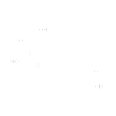 COc1ccc(C(O)S(=O)(=O)O)cc1